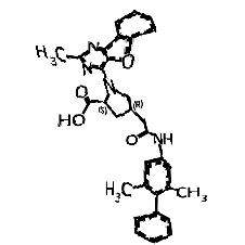 Cc1nc(N2C[C@@H](CC(=O)Nc3cc(C)c(-c4ccccc4)c(C)c3)C[C@H]2C(=O)O)c2oc3ccccc3c2n1